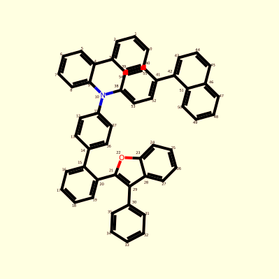 c1ccc(-c2ccccc2N(c2ccc(-c3ccccc3-c3oc4ccccc4c3-c3ccccc3)cc2)c2ccc(-c3cccc4ccccc34)cc2)cc1